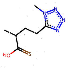 CC(CCc1nnnn1C)C(O)=S